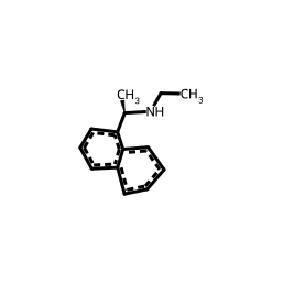 CCN[C@H](C)c1cccc2ccccc12